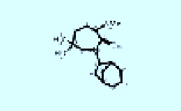 CNC1CCC(C)(C)CN(C2CC3CCCC2C3)C1=O